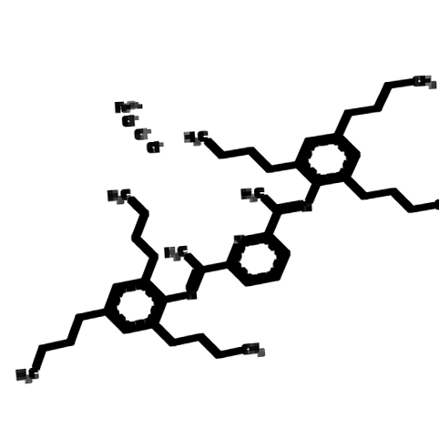 CCCCc1cc(CCCC)c(N=C(C)c2cccc(C(C)=Nc3c(CCCC)cc(CCCC)cc3CCCC)n2)c(CCCC)c1.[Cl-].[Cl-].[Cl-].[Fe+3]